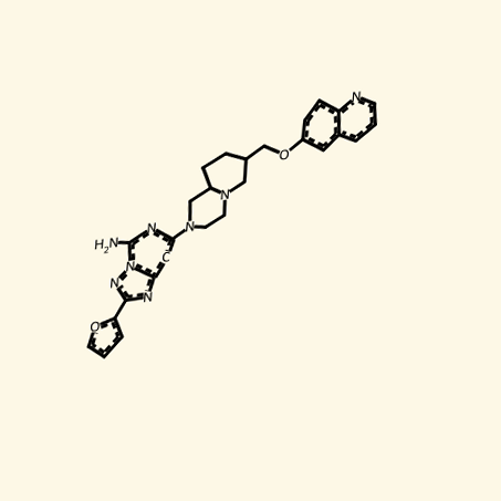 Nc1nc(N2CCN3CC(COc4ccc5ncccc5c4)CCC3C2)cc2nc(-c3ccco3)nn12